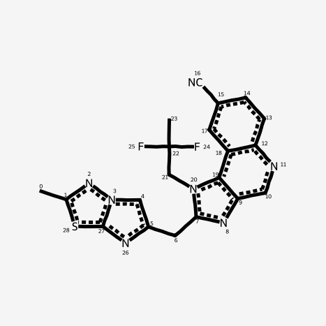 Cc1nn2cc(Cc3nc4cnc5ccc(C#N)cc5c4n3CC(C)(F)F)nc2s1